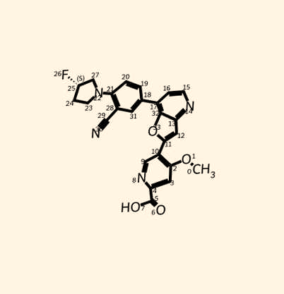 COc1cc(C(=O)O)ncc1-c1cc2nccc(-c3ccc(N4CC[C@H](F)C4)c(C#N)c3)c2o1